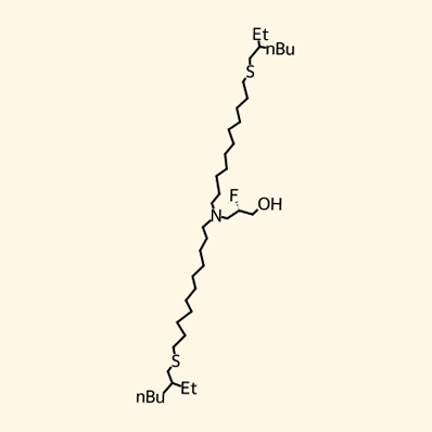 CCCCC(CC)CSCCCCCCCCCCCN(CCCCCCCCCCCSCC(CC)CCCC)C[C@H](F)CO